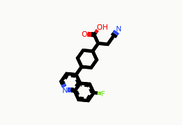 N#CCC(C(=O)O)C1CCC(c2ccnc3ccc(F)cc23)CC1